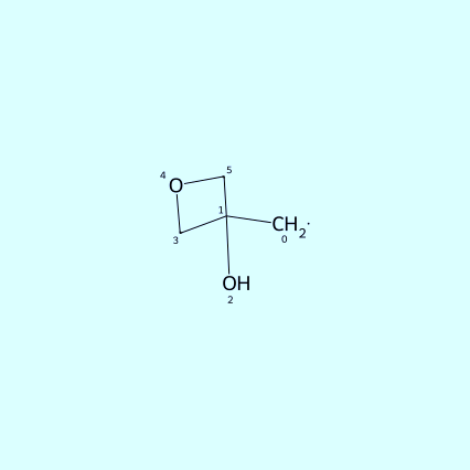 [CH2]C1(O)COC1